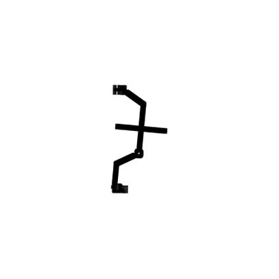 CC(C)(C)COC(C)(C)CS